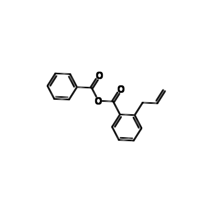 C=CCc1ccccc1C(=O)OC(=O)c1ccccc1